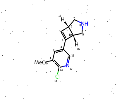 COc1cc(C2=C[C@@H]3CNC[C@H]23)cnc1Cl